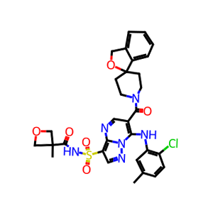 Cc1ccc(Cl)c(Nc2c(C(=O)N3CCC4(CC3)OCc3ccccc34)cnc3c(S(=O)(=O)NC(=O)C4(C)COC4)cnn23)c1